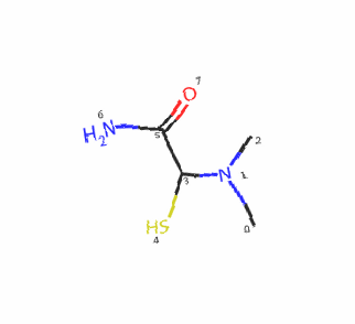 CN(C)C(S)C(N)=O